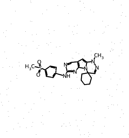 CN1N=CC2(CCCCC2)n2c1cc1cnc(Nc3ccc(S(C)(=O)=O)cc3)nc12